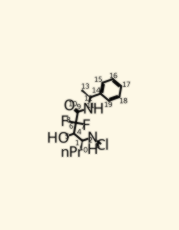 CCC[C@H](NCl)C(O)C(F)(F)C(=O)N[C@@H](C)c1ccccc1